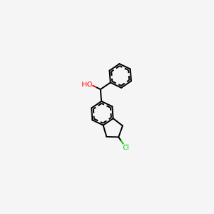 OC(c1ccccc1)c1ccc2c(c1)CC(Cl)C2